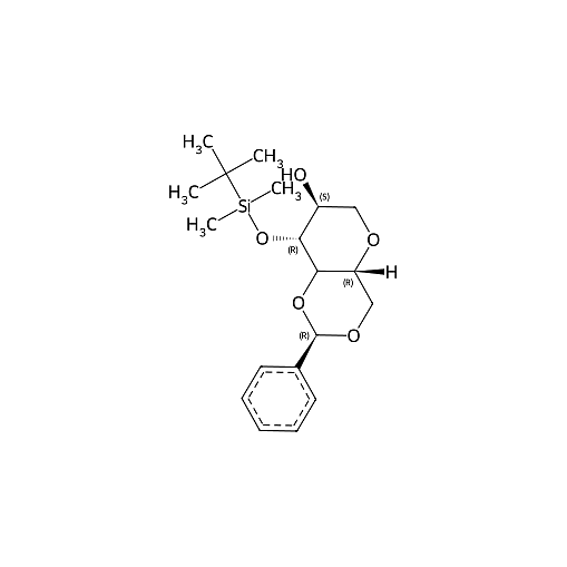 CC(C)(C)[Si](C)(C)O[C@H]1C2O[C@H](c3ccccc3)OC[C@H]2OC[C@@H]1O